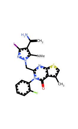 C=C(N)c1c(I)nn(Cc2nc3scc(C)c3c(=O)n2-c2ccccc2F)c1NC